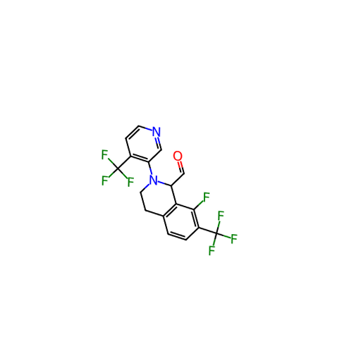 O=CC1c2c(ccc(C(F)(F)F)c2F)CCN1c1cnccc1C(F)(F)F